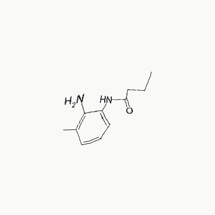 CCCC(=O)Nc1cccc(C)c1N